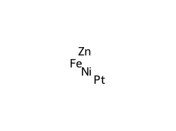 [Fe].[Ni].[Pt].[Zn]